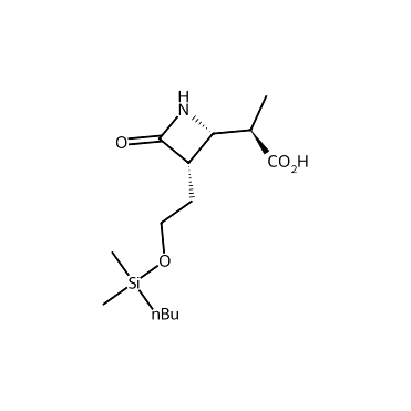 CCCC[Si](C)(C)OCC[C@@H]1C(=O)N[C@@H]1[C@@H](C)C(=O)O